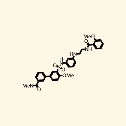 CNC(=O)c1cccc(-c2ccc(OC)c(S(=O)(=O)Nc3cccc(NCCNC(=O)c4ccccc4OC)c3)c2)c1